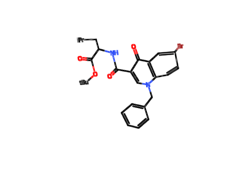 CC(C)CC(NC(=O)c1cn(Cc2ccccc2)c2ccc(Br)cc2c1=O)C(=O)OC(C)(C)C